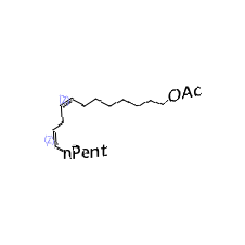 CCCCC/C=C\C/C=C\CCCCCCCOC(C)=O